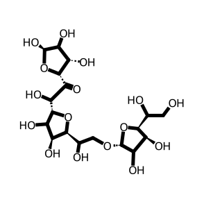 O=C(C(O)[C@@H]1O[C@@H](C(O)CO[C@@H]2O[C@@H](C(O)CO)[C@@H](O)C2O)[C@@H](O)C1O)[C@@H]1O[C@@H](O)C(O)[C@@H]1O